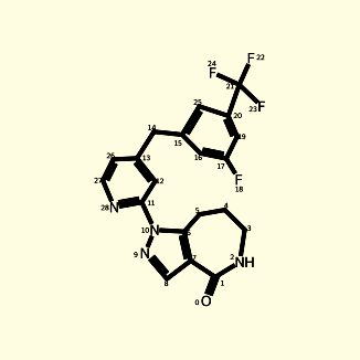 O=C1NCCCc2c1cnn2-c1cc(Cc2cc(F)cc(C(F)(F)F)c2)ccn1